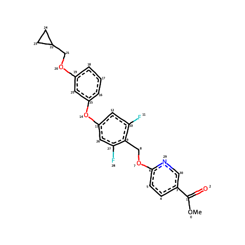 COC(=O)c1ccc(OCc2c(F)cc(Oc3cccc(OCC4CC4)c3)cc2F)nc1